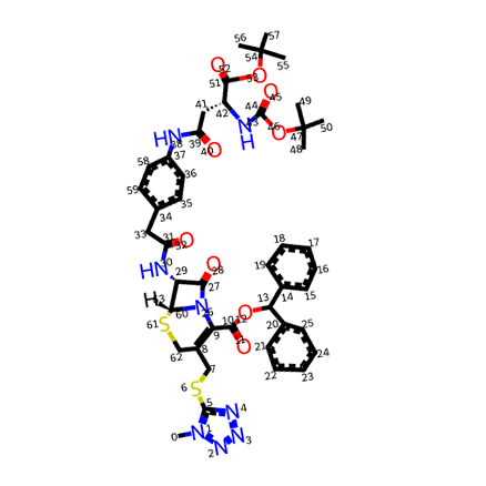 Cn1nnnc1SCC1=C(C(=O)OC(c2ccccc2)c2ccccc2)N2C(=O)[C@@H](NC(=O)Cc3ccc(NC(=O)C[C@@H](NC(=O)OC(C)(C)C)C(=O)OC(C)(C)C)cc3)[C@H]2SC1